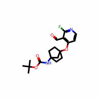 CC(C)(C)OC(=O)NC12CCC(Oc3ccnc(F)c3C=O)(CC1)C2